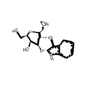 OC[C@H]1O[C@@H](O)[C@H](Oc2c[nH]c3ccccc23)[C@@H](O)[C@H]1O